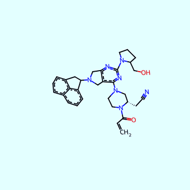 C=CC(=O)N1CCN(c2nc(N3CCCC3CO)nc3c2CN(C2Cc4cccc5cccc2c45)C3)C[C@@H]1CC#N